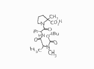 CC(C)C(NC(=O)C(C)N(C)C(=O)OC(C)(C)C)C(=O)N1CCCC1(C)C(=O)O